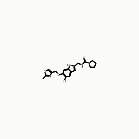 Cc1nc(COc2cc3[nH]c(CNC(=O)N4CCCC4)cc3cc2Cl)co1